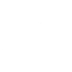 Oc1cccc(OCc2ccc(Cl)cc2Cl)c1